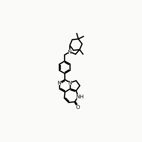 CC1(C)CC2CC(C)(CN2Cc2ccc(C3=NC=C4C=CC(=O)NC5=C4N3CC5)cc2)C1